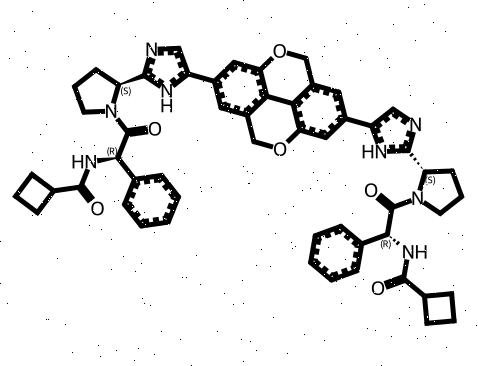 O=C(N[C@@H](C(=O)N1CCC[C@H]1c1ncc(-c2cc3c4c(c2)OCc2cc(-c5cnc([C@@H]6CCCN6C(=O)[C@H](NC(=O)C6CCC6)c6ccccc6)[nH]5)cc(c2-4)OC3)[nH]1)c1ccccc1)C1CCC1